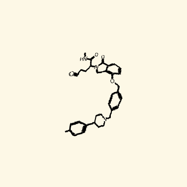 CNC(=O)C(CCC=O)N1Cc2c(OCc3ccc(CN4CCC(c5ccc(C)cc5)CC4)cc3)cccc2C1=O